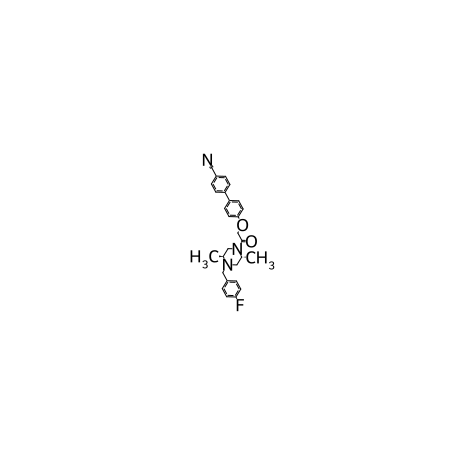 C[C@@H]1CN(Cc2ccc(F)cc2)[C@@H](C)CN1C(=O)COc1ccc(-c2ccc(C#N)cc2)cc1